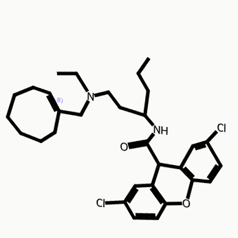 CCCC(CCN(CC)C/C1=C/CCCCCC1)NC(=O)C1c2cc(Cl)ccc2Oc2ccc(Cl)cc21